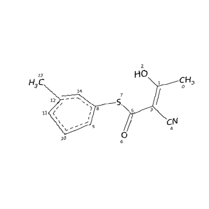 CC(O)=C(C#N)C(=O)Sc1cccc(C)c1